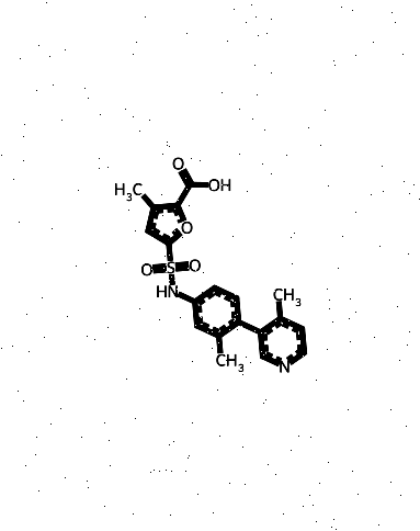 Cc1cc(NS(=O)(=O)c2cc(C)c(C(=O)O)o2)ccc1-c1cnccc1C